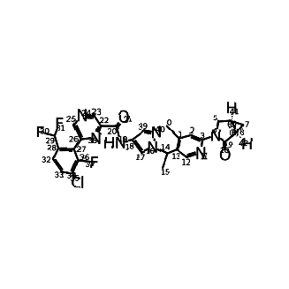 Cc1cc(N2C[C@H]3C[C@H]3C2=O)ncc1C(C)n1cc(NC(=O)c2cncc(-c3c(C(F)F)ccc(Cl)c3F)n2)cn1